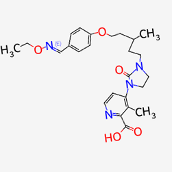 CCO/N=C/c1ccc(OCCC(C)CCN2CCN(c3ccnc(C(=O)O)c3C)C2=O)cc1